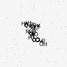 CC(C)(C)OC(=O)N[C@@H](CN1C[C@@H]2C[C@H]1C(=O)N2[C@H]1CCc2cc(C(=O)O)ccc21)C(=O)N1[C@H](C#N)C[C@@H]2C[C@@H]21